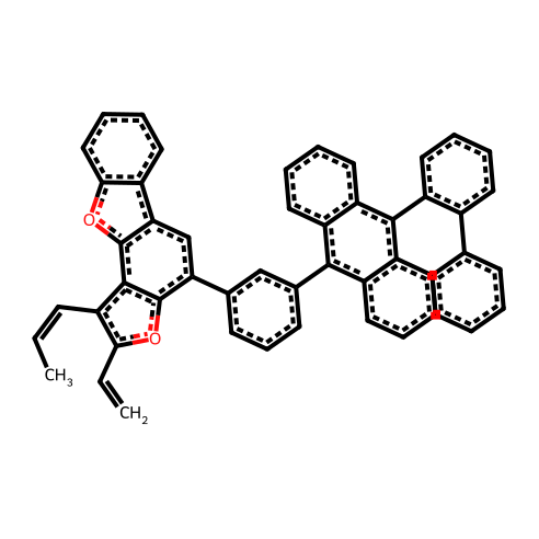 C=Cc1oc2c(-c3cccc(-c4c5ccccc5c(-c5ccccc5-c5ccccc5)c5ccccc45)c3)cc3c4ccccc4oc3c2c1/C=C\C